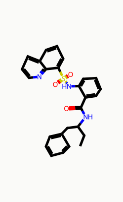 CCC(Cc1ccccc1)NC(=O)c1ccccc1NS(=O)(=O)c1cccc2cccnc12